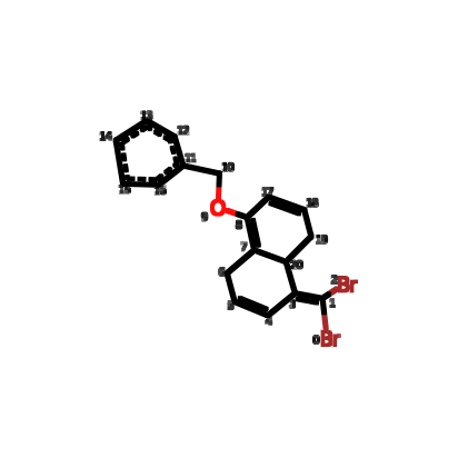 BrC(Br)=C1C=CCC2=C(OCc3ccccc3)C=CCC12